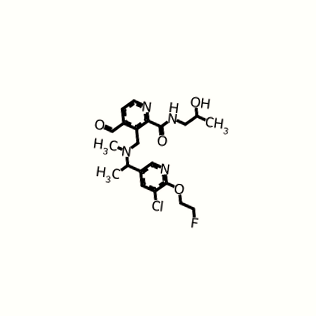 CC(O)CNC(=O)c1nccc(C=O)c1CN(C)C(C)c1cnc(OCCF)c(Cl)c1